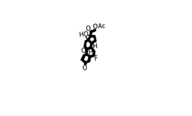 CC(=O)OCC(=O)[C@@]1(O)CC[C@H]2[C@@H]3CC(F)C4=CC(=O)C=C[C@]4(C)[C@]34OC4C[C@@]21C